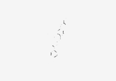 CCCOc1ccc(C(=O)N[C@H](COC(=O)O)Cc2ccc(NC(=O)OC(C)(C)C)cc2)cc1Cl